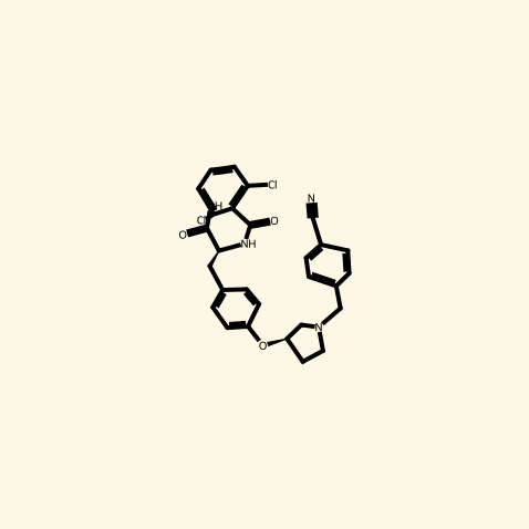 N#Cc1ccc(CN2CC[C@@H](Oc3ccc(C[C@H](NC(=O)c4c(Cl)cccc4Cl)C(=O)O)cc3)C2)cc1